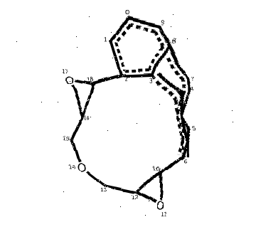 c1cc2c3ccc(cc3c1)C1OC1COCC1OC21